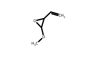 C=CC1OC1OC